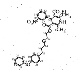 CCOC(=O)C1=C(C)NC(C)=C(C(=O)OCCOCCCc2ccc(Oc3cccnc3)cc2)C1c1cccc([N+](=O)[O-])c1